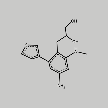 CNc1cc(N)cc(-c2ccsc2)c1CC(O)CO